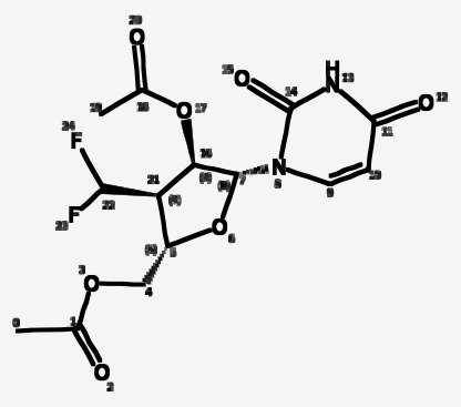 CC(=O)OC[C@H]1O[C@@H](n2ccc(=O)[nH]c2=O)[C@H](OC(C)=O)[C@@H]1C(F)F